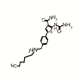 N#CCCCCCNCc1ccc(-c2cc(C(N)=O)c(NC(N)=O)s2)cc1